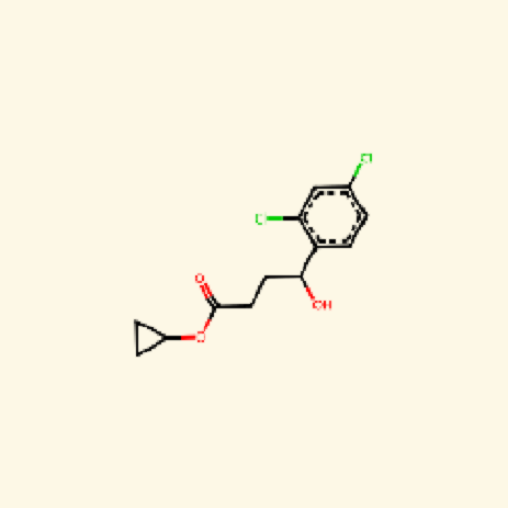 O=C(CCC(O)c1ccc(Cl)cc1Cl)OC1CC1